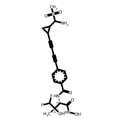 C[C@@](O)(C(F)F)[C@H](NC(=O)c1ccc(C#CC#CC2CC2C(N)S(C)(=O)=O)cc1)C(=O)NO